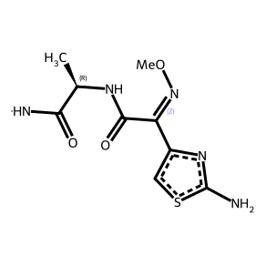 CO/N=C(\C(=O)N[C@H](C)C([NH])=O)c1csc(N)n1